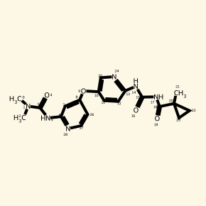 CN(C)C(=O)Nc1cc(Oc2ccc(NC(=O)NC(=O)C3(C)CC3)nc2)ccn1